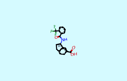 O=C(O)c1ccc2c(c1)[C@H](NC(=O)c1ccccc1C(F)(F)F)CC2